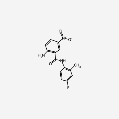 Cc1cc(F)ccc1NC(=O)c1cc([N+](=O)[O-])ccc1N